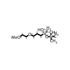 COCCOCCC[Si](C)(O)O[Si](C)(C)C